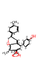 Cc1ccc(C2COc3c(C)c(O)cc(-c4ccc(O)cc4)c3C2)cc1